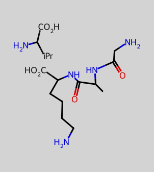 CC(C)C(N)C(=O)O.CC(NC(=O)CN)C(=O)NC(CCCCN)C(=O)O